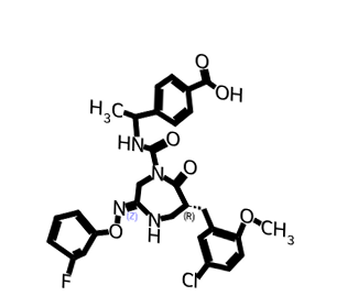 COc1ccc(Cl)cc1C[C@@H]1CN/C(=N\Oc2cccc(F)c2)CN(C(=O)NC(C)c2ccc(C(=O)O)cc2)C1=O